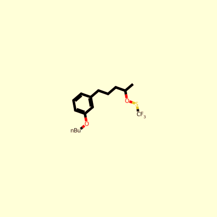 CCCCOc1cccc(CCCC(C)OSC(F)(F)F)c1